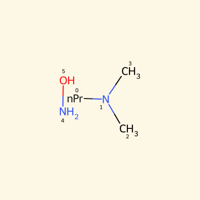 CCCN(C)C.NO